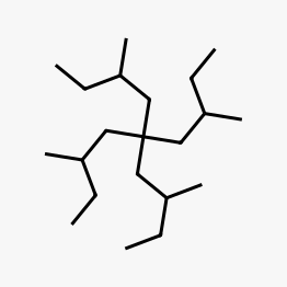 CCC(C)CC(CC(C)CC)(CC(C)CC)CC(C)CC